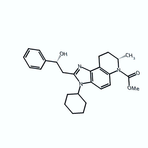 COC(=O)N1c2ccc3c(nc(C[C@@H](O)c4ccccc4)n3C3CCCCC3)c2CC[C@@H]1C